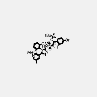 COc1cccc(OC)c1-n1c(NS(=O)(=O)[C@@H](C)[C@@H](O[Si](C)(C)C(C)(C)C)c2ccc(Br)cc2F)nnc1-c1cncc(C)c1